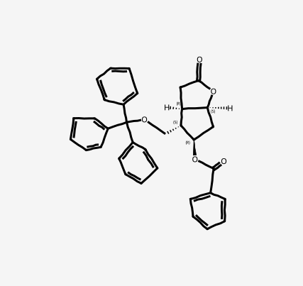 O=C1C[C@@H]2[C@@H](COC(c3ccccc3)(c3ccccc3)c3ccccc3)[C@H](OC(=O)c3ccccc3)C[C@@H]2O1